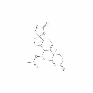 CC(=O)S[C@@H]1CC2=CC(=O)CC[C@]2(C)C2=CC[C@@]3(C)C(CC[C@@]34COC(=O)O4)C21